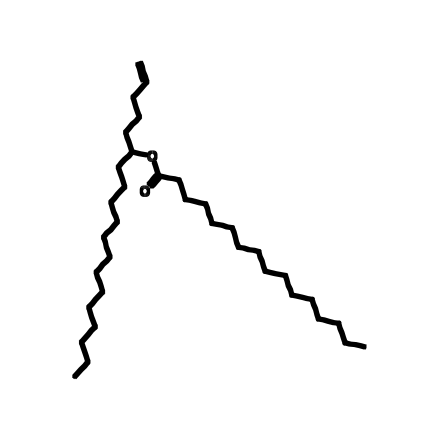 C=CCCCC(CCCCCCCCCCCCC)OC(=O)CCCCCCCCCCCCCCC